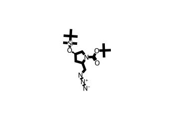 CC(C)(C)OC(=O)N1C[C@H](O[Si](C)(C)C(C)(C)C)CC1CN=[N+]=[N-]